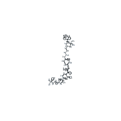 CC(C)(C)OC(=O)N1CC(CCCCCc2ccc(SNC(=O)c3ccc(-n4ccc(OCCC5(C(F)(F)F)CC5)n4)nc3Cl)cn2)CC1(C)C